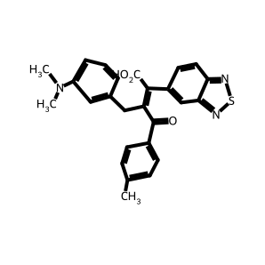 Cc1ccc(C(=O)C(Cc2cccc(N(C)C)c2)=C(C(=O)O)c2ccc3nsnc3c2)cc1